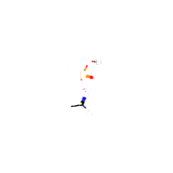 CCO[P@@](C)(=O)O/N=C(\C)C(C)=O